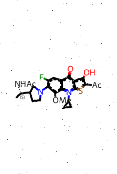 COc1c(N2CCC([C@H](C)NC(C)=O)C2)c(F)cc2c(=O)c3c(O)c(C(C)=O)sc3n(C3CC3)c12